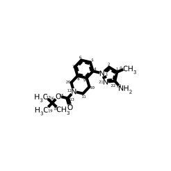 Cc1cn(-c2cccc3c2CCN(C(=O)OC(C)(C)C)C3)nc1N